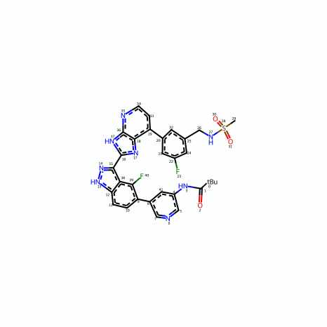 CC(C)(C)C(=O)Nc1cncc(-c2ccc3[nH]nc(-c4nc5c(-c6cc(F)cc(CNS(C)(=O)=O)c6)ccnc5[nH]4)c3c2F)c1